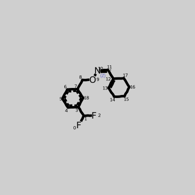 FC(F)c1cccc(CO/N=[C]\C2=CCCCC2)c1